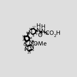 COCN1c2cc(CN3CCC(NC(=O)NCC(=O)O)CC3)ccc2Sc2nccnc21